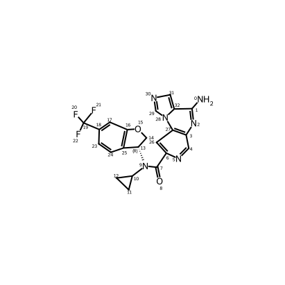 Nc1nc2cnc(C(=O)N(C3CC3)[C@H]3COc4cc(C(F)(F)F)ccc43)cc2n2cncc12